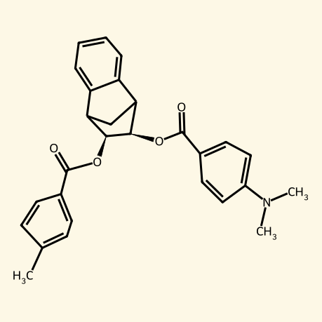 Cc1ccc(C(=O)O[C@H]2C3CC(c4ccccc43)[C@H]2OC(=O)c2ccc(N(C)C)cc2)cc1